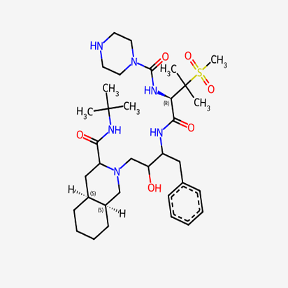 CC(C)(C)NC(=O)C1C[C@@H]2CCCC[C@@H]2CN1CC(O)C(Cc1ccccc1)NC(=O)[C@@H](NC(=O)N1CCNCC1)C(C)(C)S(C)(=O)=O